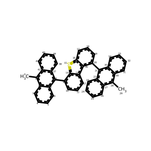 Cc1c2ccccc2c(-c2cccc3c2sc2cccc(-c4c5ccccc5c(C)c5ccccc45)c23)c2ccccc12